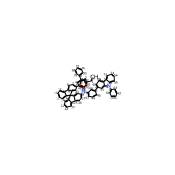 C=Cc1ccc(-c2ccc3c(c2)C2(c4ccccc4-3)c3ccccc3-c3ccc(N(c4ccc(-c5ccccc5)cc4)c4cccc(-c5ccc6c7ccccc7n(-c7ccccc7)c6c5)c4)cc32)cc1